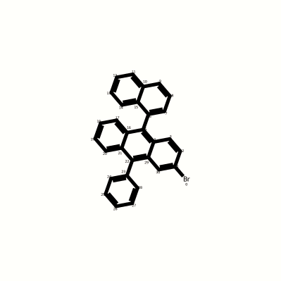 Brc1ccc2c(-c3cccc4ccccc34)c3ccccc3c(-c3ccccc3)c2c1